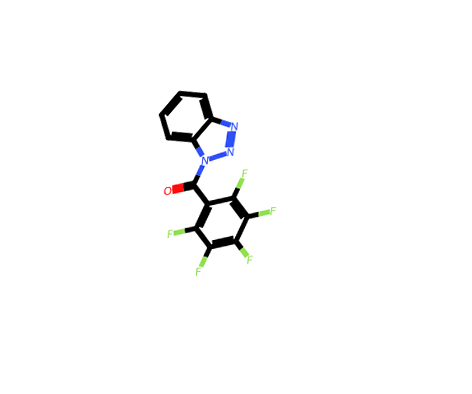 O=C(c1c(F)c(F)c(F)c(F)c1F)n1nnc2ccccc21